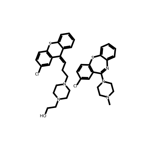 CN1CCN(C2=Nc3ccccc3Sc3ccc(Cl)cc32)CC1.OCCN1CCN(CC/C=C2/c3ccccc3Sc3ccc(Cl)cc32)CC1